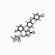 CC(C)NC(=O)OC[C@@H]1OC(=O)N(c2ccc(Oc3ccc(Cl)cc3)cc2)[C@H]1c1cccc(F)c1